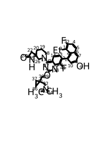 CCc1c(F)ccc2cc(O)cc(-c3ccc4c(N5CCCC6(CC(=O)N6)C5)nc(OCC5(CN(C)C)CC5)nc4c3F)c12